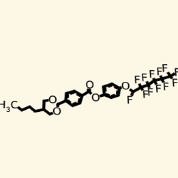 CCCCC1COC(c2ccc(C(=O)Oc3ccc(OC(F)C(F)(F)C(F)(F)C(F)(F)C(F)(F)C(F)(F)F)cc3)cc2)OC1